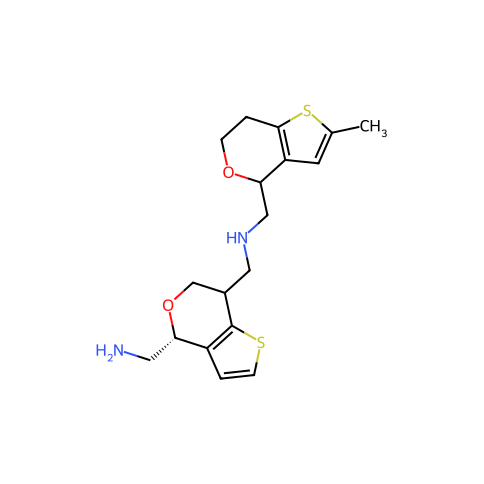 Cc1cc2c(s1)CCOC2CNCC1CO[C@@H](CN)c2ccsc21